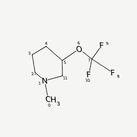 CN1[CH]CCC(OC(F)(F)F)C1